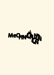 COCCN[C@@H]1C[C@H](C)CN(c2ccnc3nccnc23)C1